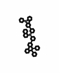 c1ccc(-c2c(-c3ccccc3)c3cc(-c4cccc(N(c5cccc(-c6ccc7c(c6)c6ccccc6n7-c6ccccc6)c5)c5cccc6ccccc56)c4)ccc3c3ccccc23)cc1